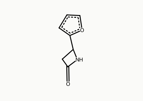 O=C1CC(c2ccco2)N1